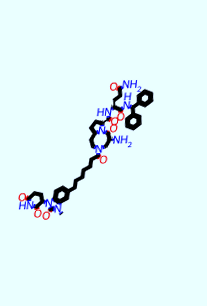 Cn1c(=O)n(C2CCC(=O)NC2=O)c2ccc(CCCCCCC(=O)N3CCC4CC[C@@H](C(=O)N[C@@H](CCC(N)=O)C(=O)NC(c5ccccc5)c5ccccc5)N4C(=O)[C@@H](N)C3)cc21